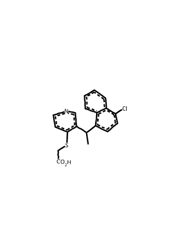 CC(c1cnccc1SCC(=O)O)c1ccc(Cl)c2ccccc12